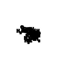 CC[C@H](C)[C@@H]([C@@H](CC(=O)N1CCC[C@H]1[C@H](OC)[C@@H](C)C(=O)N[C@@H](Cc1ccccc1)C(=O)OC)OC)N(C)C(=O)[C@@H](NC(=O)[C@H]1N[C@H]2CC[C@H]1[C@@H]2C)C(C)C